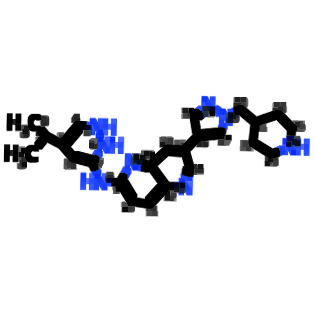 CC(C)C1=CNNC(Nc2ccc3ncc(-c4cnn(CC5CCNCC5)c4)cc3n2)=C1